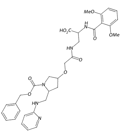 COc1cccc(OC)c1C(=O)NC(CNC(=O)COC1CC(CNc2ccccn2)N(C(=O)OCc2ccccc2)C1)C(=O)O